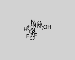 C[C@H](O)c1coc(-c2cncc([C@@]34CC[C@@H](c5cc(-c6c(F)cccc6F)nnc53)C4(C)C)n2)n1